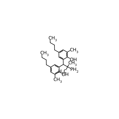 CCCCc1cc(C)c(O)c(C(c2cc(CCCC)cc(C)c2O)C(C)(C)P)c1